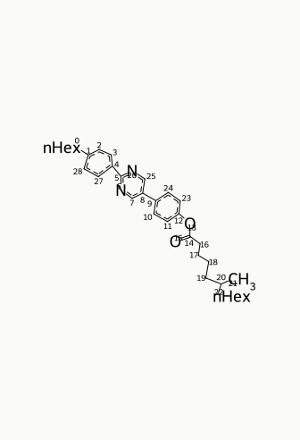 CCCCCCc1ccc(-c2ncc(-c3ccc(OC(=O)CCCCC(C)CCCCCC)cc3)cn2)cc1